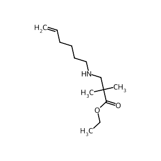 C=CCCCCNCC(C)(C)C(=O)OCC